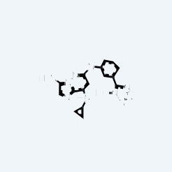 Cn1nnnc1-c1cccc(Nc2cc(NC3CC3)c3ncc(N)n3n2)c1